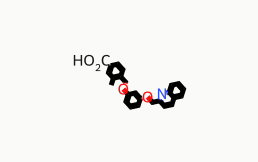 Cc1cc(C(=O)O)ccc1COc1cccc(OCc2ccc3ccccc3n2)c1